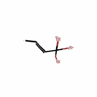 [CH2]C=CC(Br)(Br)Br